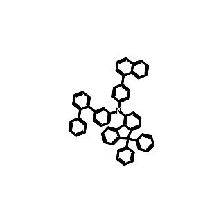 c1ccc(-c2ccccc2-c2cccc(N(c3ccc(-c4cccc5ccccc45)cc3)c3cccc4c3-c3ccccc3C4(c3ccccc3)c3ccccc3)c2)cc1